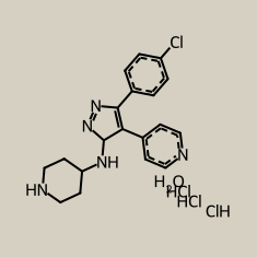 Cl.Cl.Cl.Clc1ccc(C2=C(c3ccncc3)C(NC3CCNCC3)N=N2)cc1.O